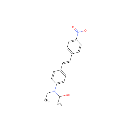 CCN(c1ccc(C=Cc2ccc([N+](=O)[O-])cc2)cc1)C(C)O